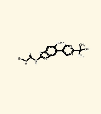 CCNC(=O)Nc1nc2cc(-c3cnc(C(C)(C)O)nc3)c(OC)cc2s1